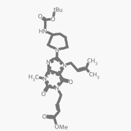 COC(=O)C=CCn1c(=O)c2c(nc(N3CCCC(NC(=O)OC(C)(C)C)C3)n2CC=C(C)C)n(C)c1=O